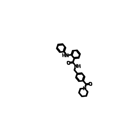 O=C(NCc1ccc(C(=O)N2CCCCC2)cc1)c1ccccc1Nc1ccccc1